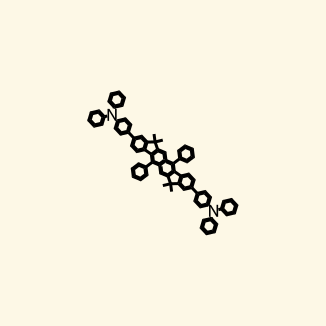 CC1(C)c2cc(-c3ccc(N(c4ccccc4)c4ccccc4)cc3)ccc2-c2c1cc1c(-c3ccccc3)c3c(cc1c2-c1ccccc1)C(C)(C)c1cc(-c2ccc(N(c4ccccc4)c4ccccc4)cc2)ccc1-3